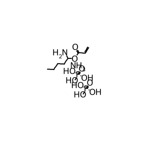 C=CC(=O)OC(N)CCCC.N.O=P(O)(O)O.O=P(O)(O)O